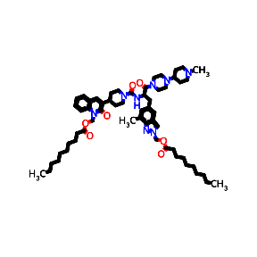 CCCCCCCCCC(=O)OCn1cc2cc(CC(NC(=O)N3CCC(c4cc5ccccc5n(COC(=O)CCCCCCCCC)c4=O)CC3)C(=O)N3CCN(C4CCN(C)CC4)CC3)cc(C)c2n1